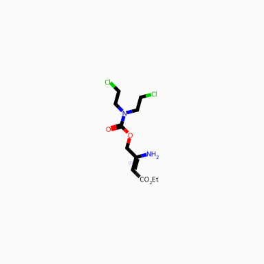 CCOC(=O)/C=C(\N)COC(=O)N(CCCl)CCCl